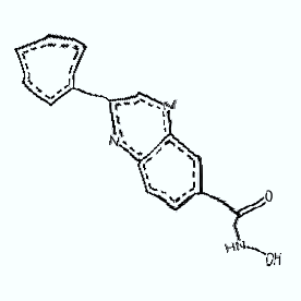 O=C(NO)c1ccc2nc(-c3ccccc3)cnc2c1